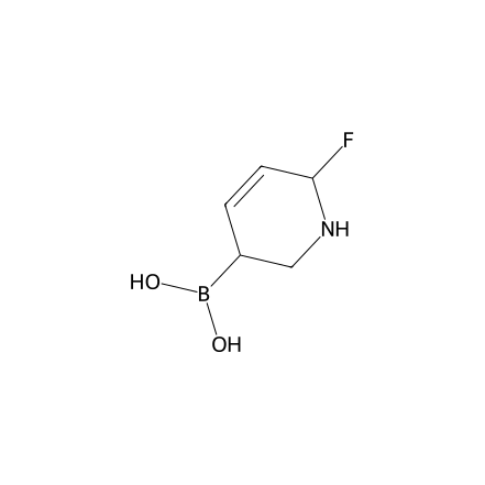 OB(O)C1C=CC(F)NC1